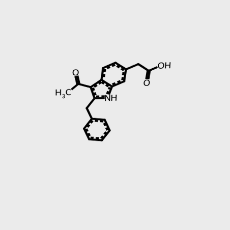 CC(=O)c1c(Cc2ccccc2)[nH]c2cc(CC(=O)O)ccc12